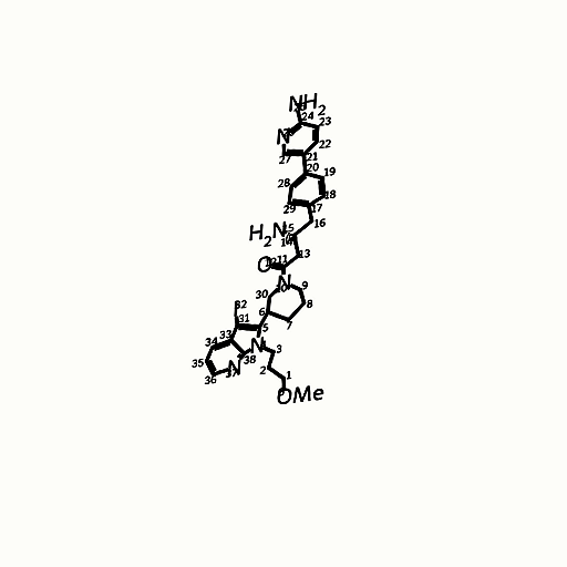 COCCCn1c(C2CCCN(C(=O)C[C@H](N)Cc3ccc(-c4ccc(N)nc4)cc3)C2)c(I)c2cccnc21